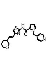 O=C(Nc1nc(C=CC2CCCOC2)cs1)c1cccn1Cc1ccncc1